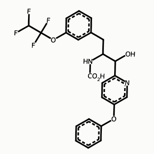 O=C(O)NC(Cc1cccc(OC(F)(F)C(F)F)c1)C(O)c1ccc(Oc2ccccc2)cn1